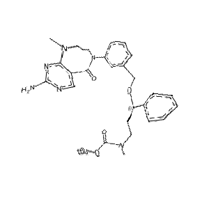 CN(CC[C@@H](OCc1cccc(N2CCN(C)c3nc(N)ncc3C2=O)c1)c1ccccc1)C(=O)OC(C)(C)C